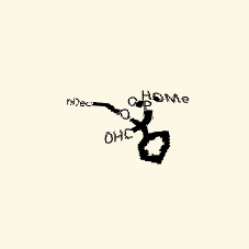 CCCCCCCCCCCCOC(C=O)(C[PH](=O)OC)c1ccccc1